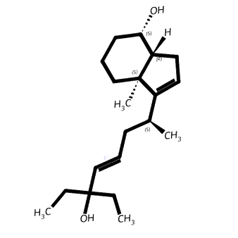 CCC(O)(/C=C/C[C@H](C)C1=CC[C@H]2[C@@H](O)CCC[C@]12C)CC